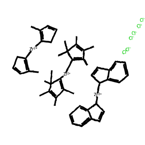 C1=C[CH]([Zr+2][CH]2C=Cc3ccccc32)c2ccccc21.CC1=C(C)C(C)(C)[C]([Zr+2][C]2=C(C)C(C)=C(C)C2(C)C)=C1C.CC1=[C]([Zr+2][C]2=C(C)C=CC2)CC=C1.[Cl-].[Cl-].[Cl-].[Cl-].[Cl-].[Cl-]